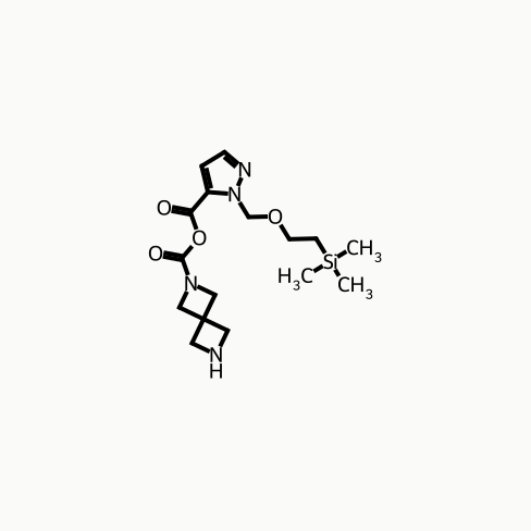 C[Si](C)(C)CCOCn1nccc1C(=O)OC(=O)N1CC2(CNC2)C1